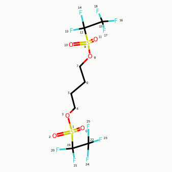 O=S(=O)(OCCCCOS(=O)(=O)C(F)(F)C(F)(F)F)C(F)(F)C(F)(F)F